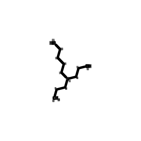 CCCN(CCO)CCCCO